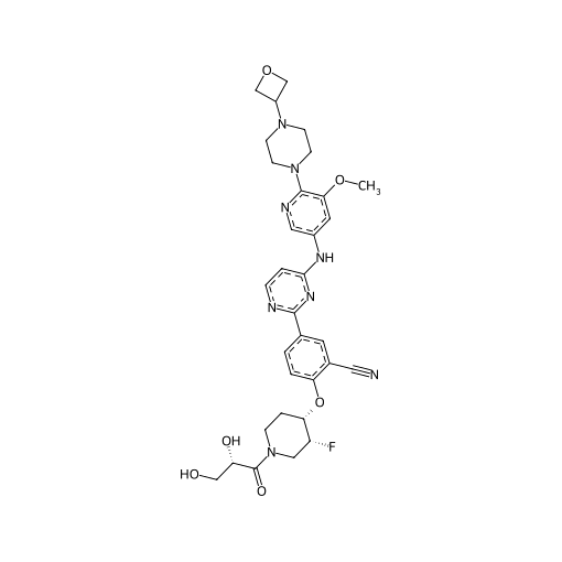 COc1cc(Nc2ccnc(-c3ccc(O[C@H]4CCN(C(=O)[C@@H](O)CO)C[C@H]4F)c(C#N)c3)n2)cnc1N1CCN(C2COC2)CC1